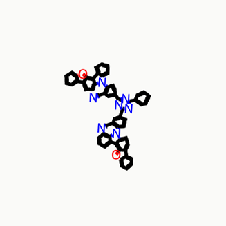 N#Cc1cc(-c2nc(-c3ccccc3)nc(-c3ccc(-n4c5ccccc5c5c6oc7ccccc7c6ccc54)c(C#N)c3)n2)ccc1-n1c2ccccc2c2c3oc4ccccc4c3ccc21